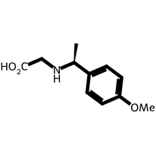 COc1ccc([C@H](C)NCC(=O)O)cc1